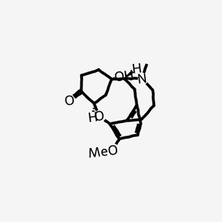 COc1ccc2c3c1O[C@@H]1C[C@@](O)(CCC1=O)[C@@H](C2)N(C)CCC3